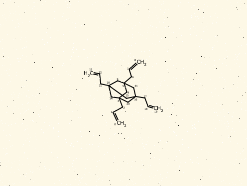 C=CCC12CC3(CC=C)CC(CC=C)(C1)CC(CC=C)(C2)C3